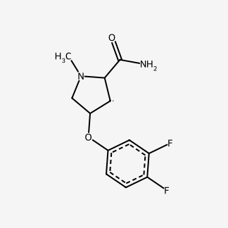 CN1CC(Oc2ccc(F)c(F)c2)[CH]C1C(N)=O